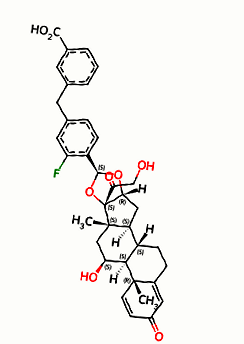 C[C@]12C=CC(=O)C=C1CC[C@@H]1[C@@H]2[C@@H](O)C[C@@]2(C)[C@H]1C[C@H]1O[C@H](c3ccc(Cc4cccc(C(=O)O)c4)cc3F)O[C@]12C(=O)CO